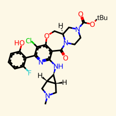 CN1C[C@@H]2[C@H](C1)[C@H]2Nc1nc(-c2c(O)cccc2F)c(Cl)c2c1C(=O)N1CCN(C(=O)OC(C)(C)C)C[C@@H]1CO2